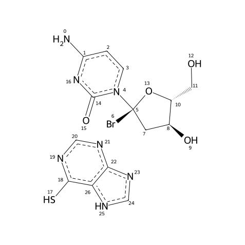 Nc1ccn([C@@]2(Br)C[C@H](O)[C@@H](CO)O2)c(=O)n1.Sc1ncnc2nc[nH]c12